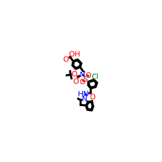 CC1Cc2ccccc2N1NC(=O)c1ccc(Cl)c(S(=O)(=O)N(Cc2ccc(C(=O)O)cc2)C(=O)OC(C)(C)C)c1